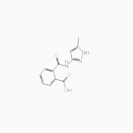 Cc1cc(NC(=O)c2ccccc2C(=O)O)n[nH]1